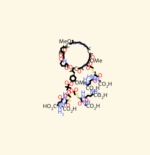 CO[C@H]1C[C@@H]2CC[C@@H](C)[C@@H](O2)C(=O)C(=O)N2CCCC[C@H]2C(=O)OC([C@H](C)C[C@@H]2CC[C@@H](OC(=O)C(C)(COC(=O)CSC[C@H](NC(=O)CC[C@H](N)C(=O)O)C(=O)NCC(=O)O)COC(=O)CS[C@H](NC(=O)CC[C@H](N)C(=O)O)C(=O)NCC(=O)O)[C@H](OC)C2)CC(=O)[C@H](C)/C=C(\C)[C@@H](OC(=O)CSC[C@H](NC(=O)CC[C@H](N)C(=O)O)C(=O)NCC(=O)O)[C@@H](OC)C(=O)[C@H](C)C[C@@H](C)\C=C/C=C/C=C/1C